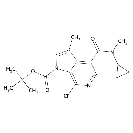 Cc1cn(C(=O)OC(C)(C)C)c2c(Cl)ncc(C(=O)N(C)C3CC3)c12